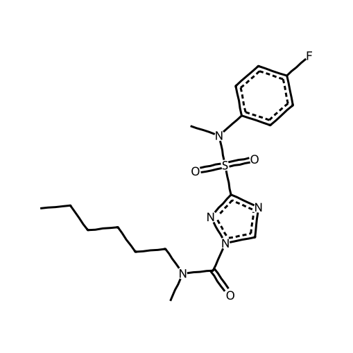 CCCCCCN(C)C(=O)n1cnc(S(=O)(=O)N(C)c2ccc(F)cc2)n1